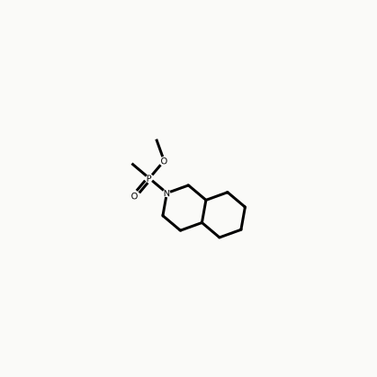 COP(C)(=O)N1CCC2CCCCC2C1